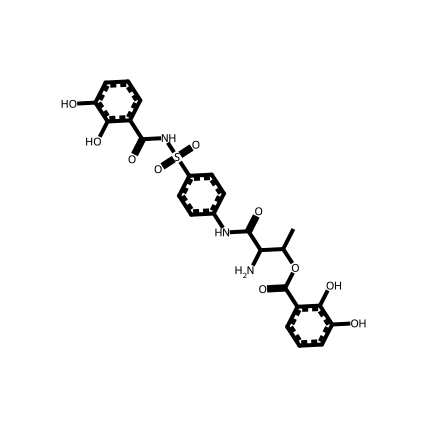 CC(OC(=O)c1cccc(O)c1O)C(N)C(=O)Nc1ccc(S(=O)(=O)NC(=O)c2cccc(O)c2O)cc1